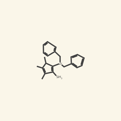 CC1=C(C)C(C)[C]([Zr]([CH2]c2ccccc2)[CH2]c2ccccc2)=C1[SiH3]